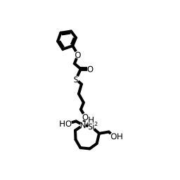 O=C(COc1ccccc1)SCCCCO[N+]1(CO)CCCCCC(CO)[SiH2]1